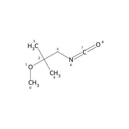 COC(C)(C)CN=C=O